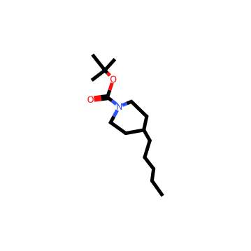 CCCCCC1CCN(C(=O)OC(C)(C)C)CC1